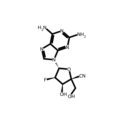 N#C[C@]1(CO)O[C@@H](n2cnc3c(N)nc(N)nc32)[C@H](F)[C@@H]1O